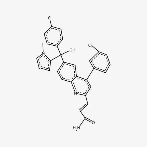 Cn1cncc1C(O)(c1ccc(Cl)cc1)c1ccc2nc(C=CC(N)=O)cc(-c3cccc(Cl)c3)c2c1